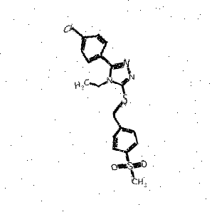 CCn1c(SCc2ccc(S(C)(=O)=O)cc2)nnc1-c1ccc(Cl)cc1